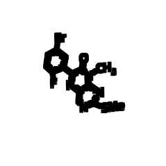 CSc1ncc2nc(-c3cc(Br)ccc3F)c(=O)n(C)c2n1